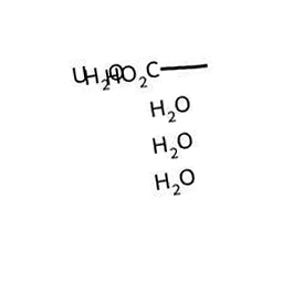 CC(=O)O.O.O.O.O.[U]